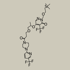 CC(COCCC(=O)N1CCN(c2ccc(C(F)(F)F)cn2)CC1)Oc1cnn(COCC[Si](C)(C)C)c(=O)c1C(F)(F)F